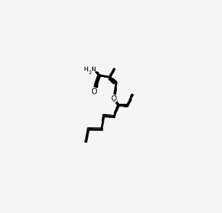 CCCCCC(CC)OC=C(C)C(N)=O